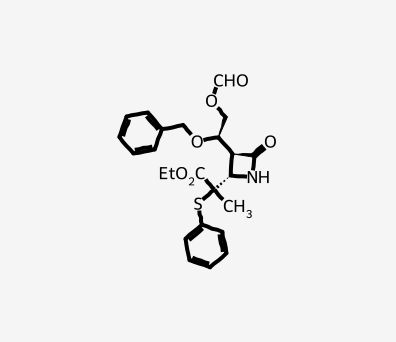 CCOC(=O)C(C)(Sc1ccccc1)[C@H]1NC(=O)[C@@H]1[C@H](COC=O)OCc1ccccc1